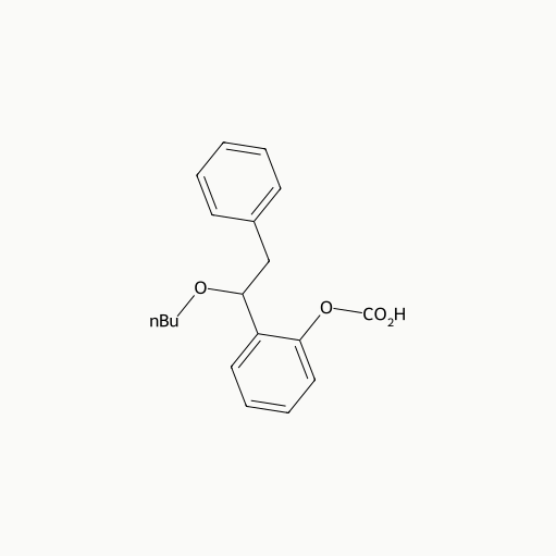 CCCCOC(Cc1ccccc1)c1ccccc1OC(=O)O